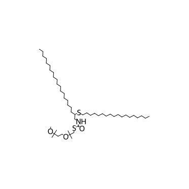 CCCCCCCCCCCCCCCCCCCC(CNC(=O)SCC(C)(C)OCCC(C)(C)OC)SCCCCCCCCCCCCCCCCCC